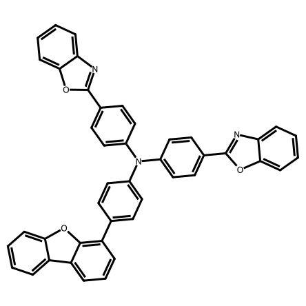 c1ccc2oc(-c3ccc(N(c4ccc(-c5nc6ccccc6o5)cc4)c4ccc(-c5cccc6c5oc5ccccc56)cc4)cc3)nc2c1